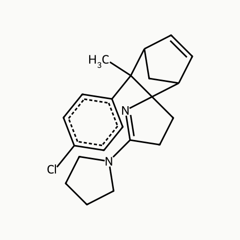 CC1(c2ccc(Cl)cc2)C2C=CC(C2)C12CCC(N1CCCC1)=N2